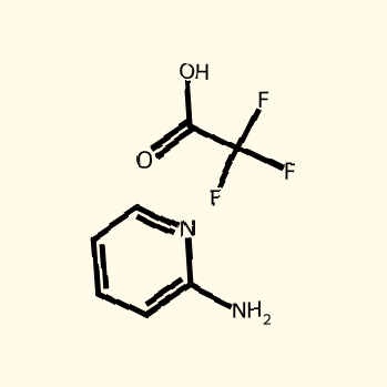 Nc1ccccn1.O=C(O)C(F)(F)F